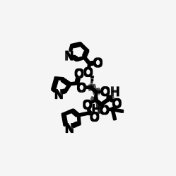 CC1(C)O[C@H]2O[C@H]([C@@H](COC(=O)c3cccnc3)OC(=O)c3cccnc3)[C@H](OC(=O)c3cccnc3)[C@H]2O1